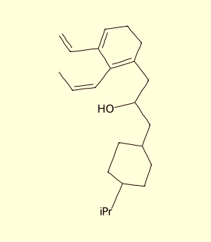 C=CC1=CCCC(CC(O)CC2CCC(C(C)C)CC2)=C1/C=C\C